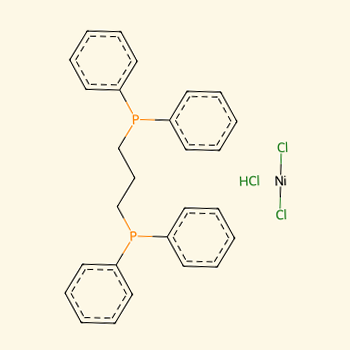 Cl.[Cl][Ni][Cl].c1ccc(P(CCCP(c2ccccc2)c2ccccc2)c2ccccc2)cc1